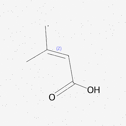 [CH2]/C(C)=C/C(=O)O